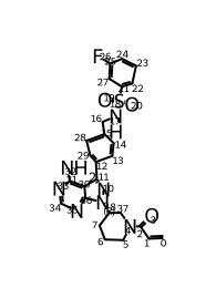 C=CC(=O)N1CCC[C@@H](n2nc(-c3ccc(CNS(=O)(=O)c4cccc(F)c4)cc3)c3c(N)ncnc32)C1